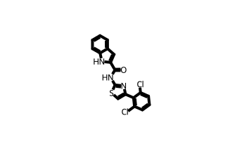 O=C(Nc1nc(-c2c(Cl)cccc2Cl)cs1)c1cc2ccccc2[nH]1